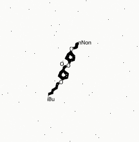 CCCCCCCCC/C=C/Oc1ccc(OC(=O)c2ccc(OCCCCC[C@@H](C)CC)cc2)cc1